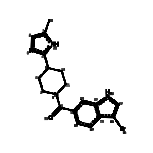 Cc1cnc(C2CCN(C(=O)c3ccc4c(Br)c[nH]c4c3)CC2)[nH]1